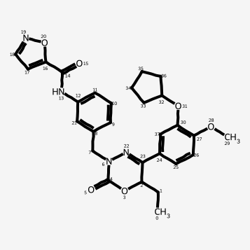 CCC1OC(=O)N(Cc2cccc(NC(=O)c3ccno3)c2)N=C1c1ccc(OC)c(OC2CCCC2)c1